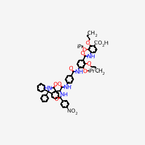 C=CCOc1c(C(=O)O)ccc(NC(=O)c2ccc(NC(=O)c3ccc(NC(=O)C(CC(=O)NC(c4ccccc4)(c4ccccc4)c4ccccc4)NC(=O)c4ccc([N+](=O)[O-])cc4)cc3)c(OC(C)C)c2OCC=C)c1OC(C)C